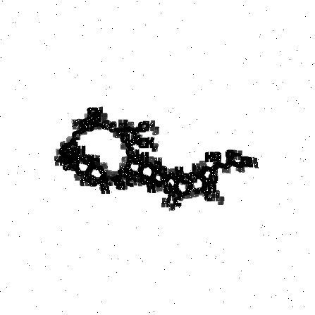 C=C1C[C@@H]2CC[C@]34C[C@@H]5OC6(C[C@H]7O[C@H](CC[C@@H]7O[C@H]6[C@@H]5O3)CC(=O)O[C@@H]3[C@@H](C)[C@@H]5O[C@@H]6C[C@]7(C[C@@H]8O[C@]9(C[C@H](C)[C@@H]%10O[C@H]([C@@H](O)C[C@@H](O)CO)C[C@@H]%10O9)C[C@H](C)[C@@H]8O7)O[C@@H]6C[C@@H]5O[C@H]3C[C@H]3O[C@@H](CC[C@@H]1O2)C[C@@H](C)C3=C)O4